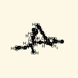 CCCOc1cc(N=Nc2ccc(N=Nc3ccccc3)cc2S(=O)(=O)O)c(C)cc1Cc1nc(Cc2ccc(N=Nc3ccc(N=Nc4ccc(S(=O)(=O)O)cc4)cc3)c(C)c2)nc(NCc2ccc(CNc3nc(Nc4ccc(N=Nc5ccc(N=Nc6ccccc6)cc5S(=O)(=O)O)c(C)c4)nc(Nc4cc(C)c(N=Nc5ccc(N=Nc6ccc(S(=O)(=O)O)cc6)cc5)cc4OCCCS(=O)(=O)O)n3)cc2)n1